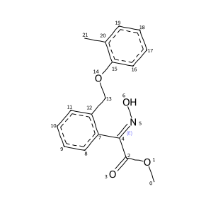 COC(=O)/C(=N/O)c1ccccc1COc1ccccc1C